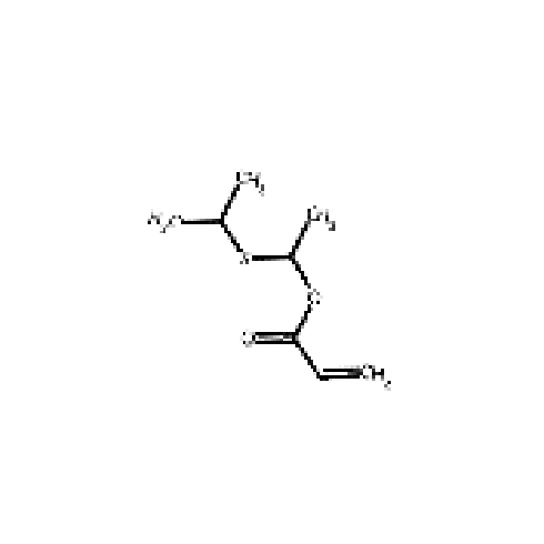 C=CC(=O)OC(C)SC(C)C